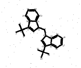 CC(C)(C)C1=CC(CC2C=C(C(C)(C)C)c3ccccc32)c2ccccc21